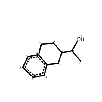 CC(O)C1CCc2ccccc2C1